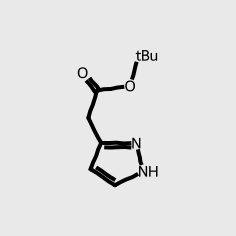 CC(C)(C)OC(=O)Cc1cc[nH]n1